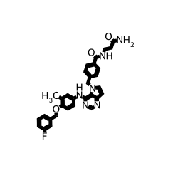 Cc1cc(Nc2ncnc3ccn(Cc4ccc(C(=O)NCCC(N)=O)cc4)c23)ccc1OCc1cccc(F)c1